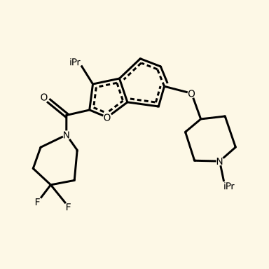 CC(C)c1c(C(=O)N2CCC(F)(F)CC2)oc2cc(OC3CCN(C(C)C)CC3)ccc12